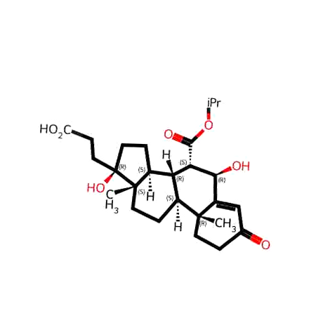 CC(C)OC(=O)[C@H]1[C@@H]2[C@H](CC[C@@]3(C)[C@H]2CC[C@@]3(O)CCC(=O)O)[C@@]2(C)CCC(=O)C=C2[C@@H]1O